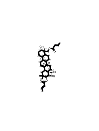 C/C=C/C(=O)OC[C@]1(C)C2CC[C@]3(C)C(CC=C4C5CC(C)(C)[C@@H](OC(=O)/C=C/C)[C@H](O)[C@]5(CO)[C@H](O)C[C@]43C)[C@@]2(C)CC[C@@H]1O